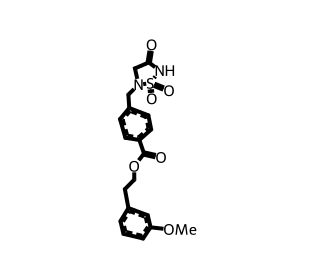 COc1cccc(CCOC(=O)c2ccc(CN3CC(=O)NS3(=O)=O)cc2)c1